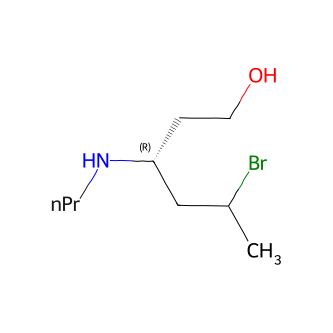 CCCN[C@H](CCO)CC(C)Br